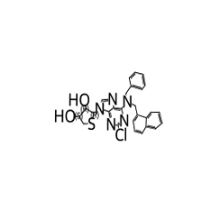 O[C@@H]1[C@H](O)CS[C@H]1n1cnc2c(N(Cc3ccccc3)Cc3cccc4ccccc34)nc(Cl)nc21